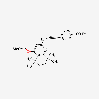 CCOC(=O)c1ccc(C#C[Se]c2cc(OCOC)c3c(c2)C(C)(C)CCC3(C)C)cc1